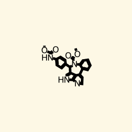 COC(=O)Nc1ccc(C2c3c[nH]c4nccc(c34)-c3ccccc3N2C(=O)OC)cc1